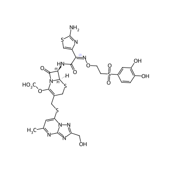 Cc1cc(SCC2=C(OC(=O)O)N3C(=O)[C@@H](NC(=O)/C(=N\OCCS(=O)(=O)c4ccc(O)c(O)c4)c4csc(N)n4)[C@H]3SC2)n2nc(CO)nc2n1